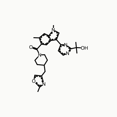 Cc1nc(CC2CCN(C(=O)c3cc4c(-c5ccnc(C(C)(C)O)n5)cn(C)c4cc3C)CC2)co1